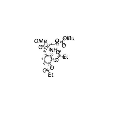 CCC(=O)Oc1ccc(C[C@](N)(CCOC(=O)OCC(C)C)C(=O)OC)cc1OC(=O)CC